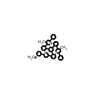 COc1cccc(-c2ccc(-c3ccccc3-c3cc(-c4ccccc4-c4cnc(-c5ccccc5)cc4C)cc(-c4ccccc4-c4cnc(-c5ccccc5)cc4C)c3)cn2)c1